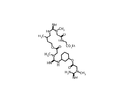 CCOC(=O)CNC(=O)CN(C)C(=N)NCC(C)CCOC(=O)CN(C)C(=N)NC1CCCC(OC(=O)CN(C)C(=N)N)C1